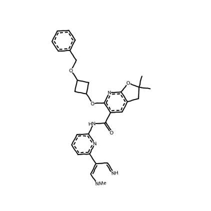 CN/C=C(\C=N)c1cccc(NC(=O)c2cc3c(nc2OC2CC(OCc4ccccc4)C2)OC(C)(C)C3)n1